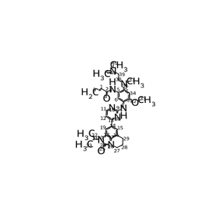 C=CC(=O)Nc1cc(Nc2nccc(-c3cc4c5c(c3)n(C(C)C)c(=O)n5CCC4)n2)c(OC)cc1N(C)CCN(C)C